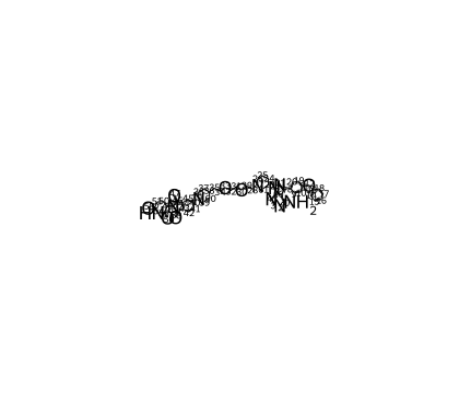 Nc1ncnc2c1c(-c1ccc(Oc3ccccc3)cc1)nn2C1CCCN(CCOCCOCCC2CCN(c3ccc4c(c3)C(=O)N(C3CCC(=O)NC3=O)C4=O)CC2)C1